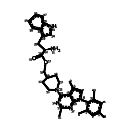 Cc1cc(C)c(-n2cc(C)c3c(N4CCC(COC(=O)[C@H](N)Cc5c[nH]c6ccccc56)CC4)nc(C)nc32)c(C)c1